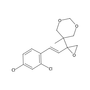 CC1(C2(C=Cc3ccc(Cl)cc3Cl)CO2)COCOC1